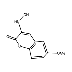 COc1ccc2oc(=O)c(NO)cc2c1